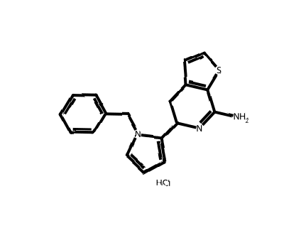 Cl.NC1=NC(c2cccn2Cc2ccccc2)Cc2ccsc21